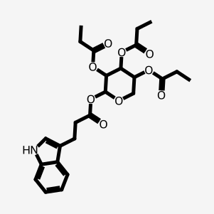 CCC(=O)OC1COC(OC(=O)CCc2c[nH]c3ccccc23)C(OC(=O)CC)C1OC(=O)CC